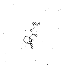 CC1(C)C2(C(=O)OCC(=O)O)CC[C@]1(C)C(=O)O2